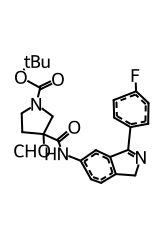 CC(C)(C)OC(=O)N1CCC(C=O)(C(=O)Nc2ccc3c(c2)C(c2ccc(F)cc2)=NC3)C1